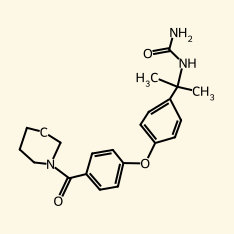 CC(C)(NC(N)=O)c1ccc(Oc2ccc(C(=O)N3CCCCC3)cc2)cc1